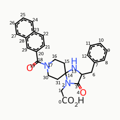 O=C(O)CN1C(=O)C(Cc2ccccc2)NC12CCN(C(=O)c1ccc3ccccc3c1)CC2